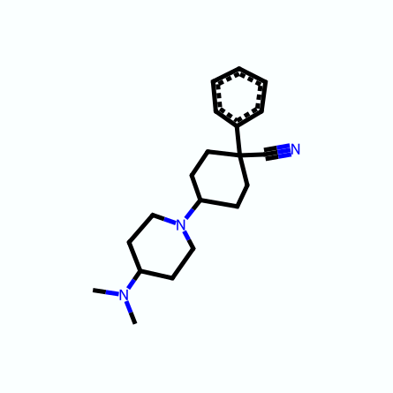 CN(C)C1CCN(C2CCC(C#N)(c3ccccc3)CC2)CC1